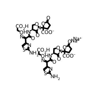 Nc1nc(C(=NOCC(=O)O)C(=O)N[C@H]2CON(C3(C(=O)[O-])CCC(=O)O3)C2=O)cs1.Nc1nc(C(=NOCC(=O)O)C(=O)N[C@H]2CON(C3(C(=O)[O-])CCC(=O)O3)C2=O)cs1.[Na+].[Na+]